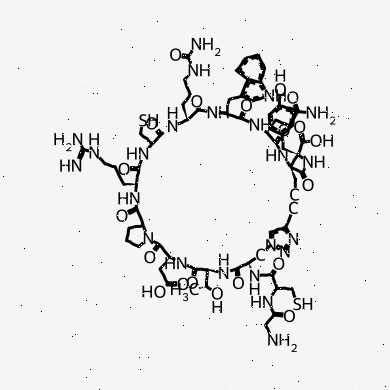 C[C@@H](O)[C@@H]1NC(=O)[C@@H](NC(=O)C(CS)NC(=O)CN)Cn2cc(nn2)CCC[C@]2(NC(=O)[C@H](CCC(N)=O)NC(=O)[C@H](Cc3c[nH]c4ccccc34)NC(=O)[C@H](CCCNC(N)=O)NC(=O)C(CS)NC(=O)[C@H](CCCNC(=N)N)NC(=O)C3CCCN3C(=O)[C@H](CC(=O)O)NC1=O)C(=O)N[C@@]2(Cc1ccc(O)cc1)C(=O)O